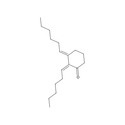 CCCCCC=C1CCCC(=O)C1=CCCCCC